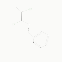 CC(Br)C(Br)CCc1cc[c]cc1